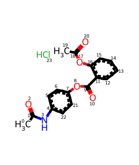 CC(=O)Nc1ccc(OC(=O)c2ccccc2OC(C)=O)cc1.Cl